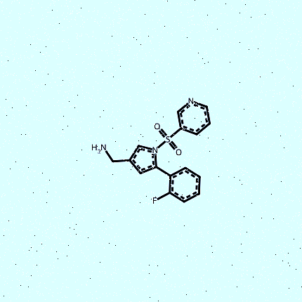 NCc1cc(-c2ccccc2F)n(S(=O)(=O)c2cccnc2)c1